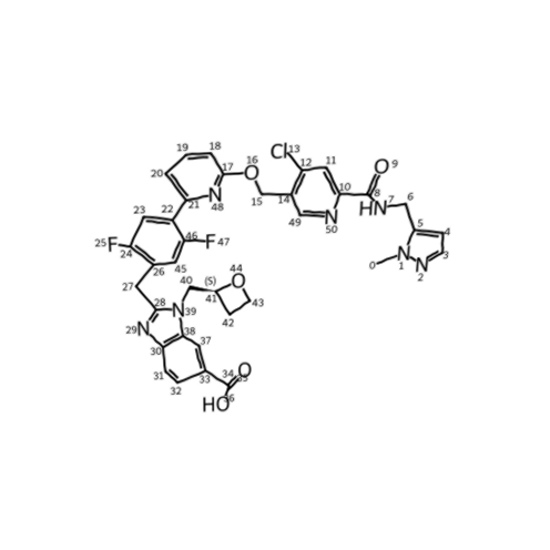 Cn1nccc1CNC(=O)c1cc(Cl)c(COc2cccc(-c3cc(F)c(Cc4nc5ccc(C(=O)O)cc5n4C[C@@H]4CCO4)cc3F)n2)cn1